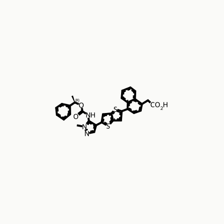 C[C@@H](OC(=O)Nc1c(-c2cc3sc(-c4ccc(CC(=O)O)c5ccccc45)cc3s2)cnn1C)c1ccccc1